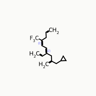 C=CC/C(=C\C=C(/C=C)CC(=C)CC1CC1)C(F)(F)F